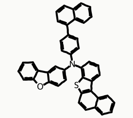 c1ccc2c(-c3ccc(N(c4ccc5oc6ccccc6c5c4)c4cccc5c4sc4ccc6ccccc6c45)cc3)cccc2c1